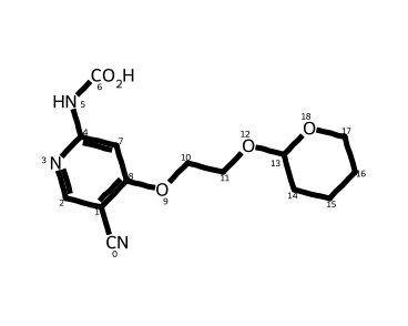 N#Cc1cnc(NC(=O)O)cc1OCCOC1CCCCO1